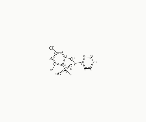 Cc1nc(Cl)cc(OCc2ccccc2)c1S(C)(=O)=O